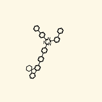 c1ccc(-c2ccc(-c3nc(-c4ccc(-c5ccc(-c6ccc7c(c6)C6(CCCCC6)c6ccccc6-7)cc5)cc4)nc(-c4cccc(-c5ccccc5)c4)n3)cc2)cc1